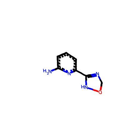 Nc1cccc(C2=NCON2)n1